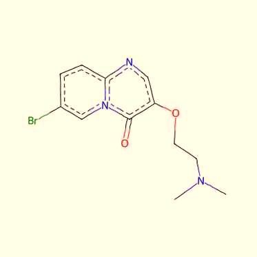 CN(C)CCOc1cnc2ccc(Br)cn2c1=O